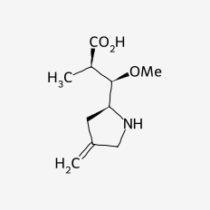 C=C1CN[C@H]([C@H](OC)[C@@H](C)C(=O)O)C1